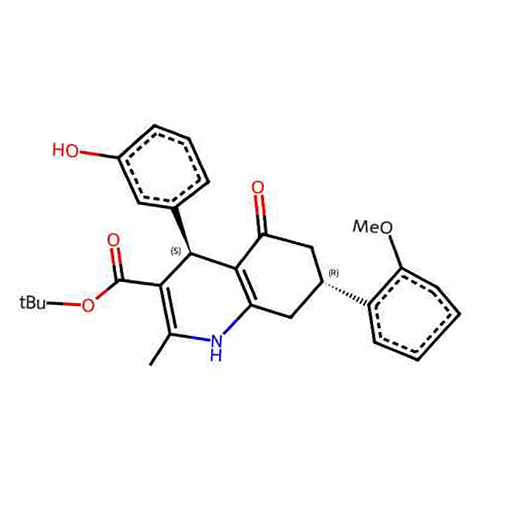 COc1ccccc1[C@H]1CC(=O)C2=C(C1)NC(C)=C(C(=O)OC(C)(C)C)[C@H]2c1cccc(O)c1